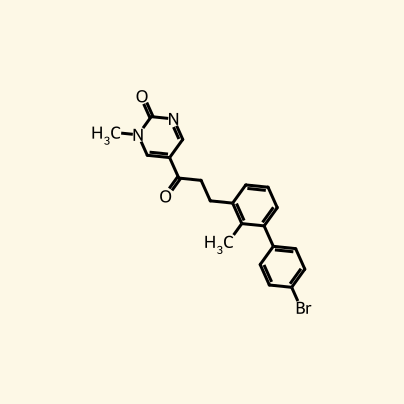 Cc1c(CCC(=O)c2cnc(=O)n(C)c2)cccc1-c1ccc(Br)cc1